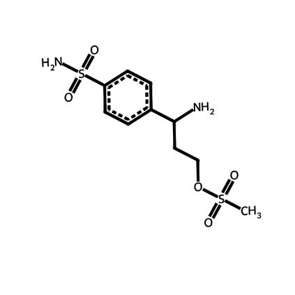 CS(=O)(=O)OCCC(N)c1ccc(S(N)(=O)=O)cc1